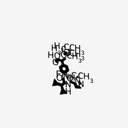 CC(C)n1nccc1C(=O)N[C@H](C(=O)Nc1ccc(C(CO[Si](C)(C)C(C)(C)C)C(=O)O)cc1F)C(=C1CC1)C1CC1